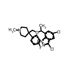 CC(OCC1(c2ccc(F)cc2)CCN(C)CC1)c1cc(Cl)cc2c(Cl)n[nH]c12